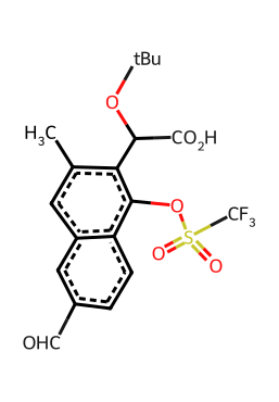 Cc1cc2cc(C=O)ccc2c(OS(=O)(=O)C(F)(F)F)c1C(OC(C)(C)C)C(=O)O